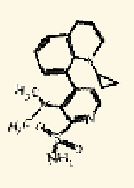 CN(C)c1c(-c2cccc3c2N(C2CC2)CCC3)ccnc1S(N)(=O)=O